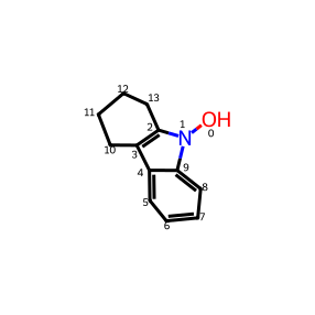 On1c2c(c3ccccc31)CCCC2